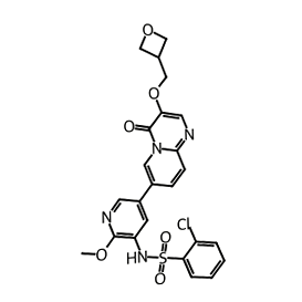 COc1ncc(-c2ccc3ncc(OCC4COC4)c(=O)n3c2)cc1NS(=O)(=O)c1ccccc1Cl